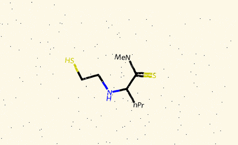 CCCC(NCCS)C(=S)NC